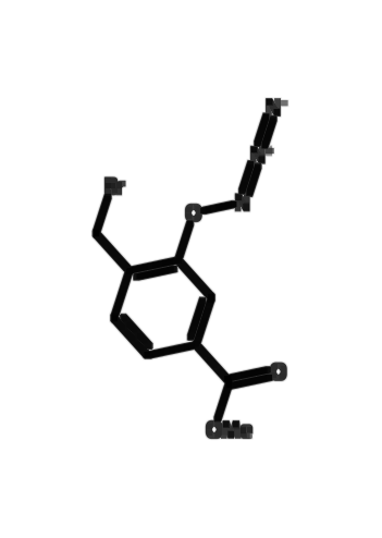 COC(=O)c1ccc(CBr)c(ON=[N+]=[N-])c1